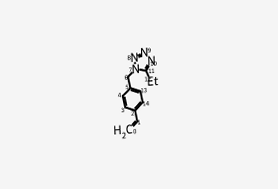 C=Cc1ccc(Cn2nnnc2CC)cc1